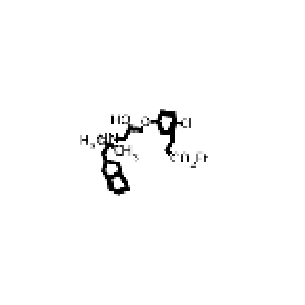 CCOC(=O)CCc1cc(OC[C@@H](O)CNC(C)(C)CC2Cc3ccccc3C2)ccc1Cl